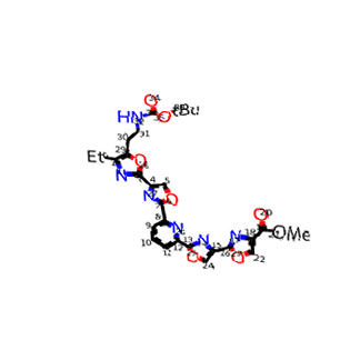 CCc1nc(-c2coc(-c3cccc(-c4nc(-c5nc(C(=O)OC)co5)co4)n3)n2)oc1CCNC(=O)OC(C)(C)C